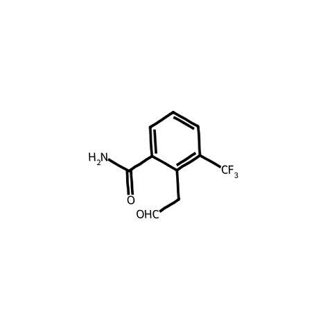 NC(=O)c1cccc(C(F)(F)F)c1CC=O